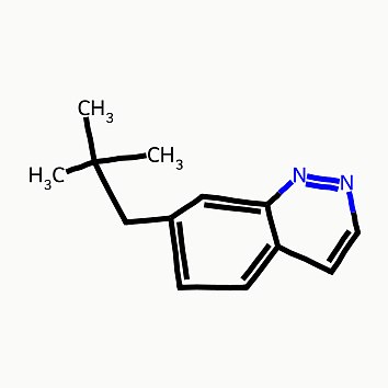 CC(C)(C)Cc1ccc2ccnnc2c1